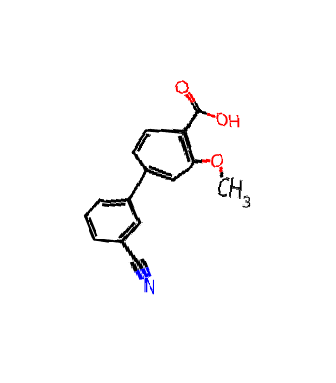 COc1cc(-c2cccc(C#N)c2)ccc1C(=O)O